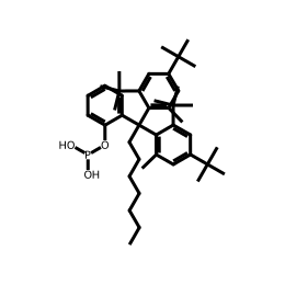 CCCCCCCC(c1ccccc1OP(O)O)(c1c(C)cc(C(C)(C)C)cc1C(C)(C)C)c1c(C)cc(C(C)(C)C)cc1C(C)(C)C